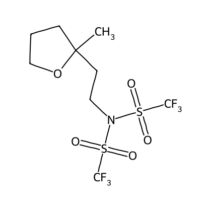 CC1(CCN(S(=O)(=O)C(F)(F)F)S(=O)(=O)C(F)(F)F)CCCO1